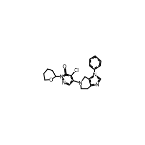 O=c1c(Cl)c(N2CCc3ncn(-c4ccccc4)c3C2)cnn1C1CCCCO1